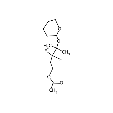 CC(=O)OCCC(F)(F)C(C)(C)OC1CCCCO1